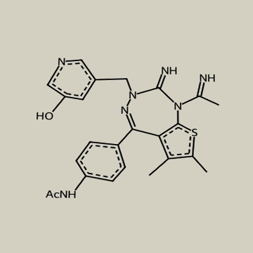 CC(=N)N1C(=N)N(Cc2cncc(O)c2)N=C(c2ccc(NC(C)=O)cc2)c2c1sc(C)c2C